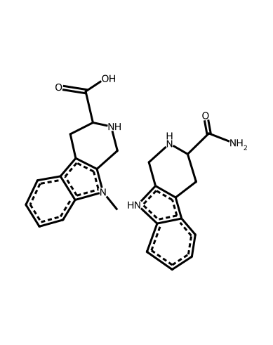 Cn1c2c(c3ccccc31)CC(C(=O)O)NC2.NC(=O)C1Cc2c([nH]c3ccccc23)CN1